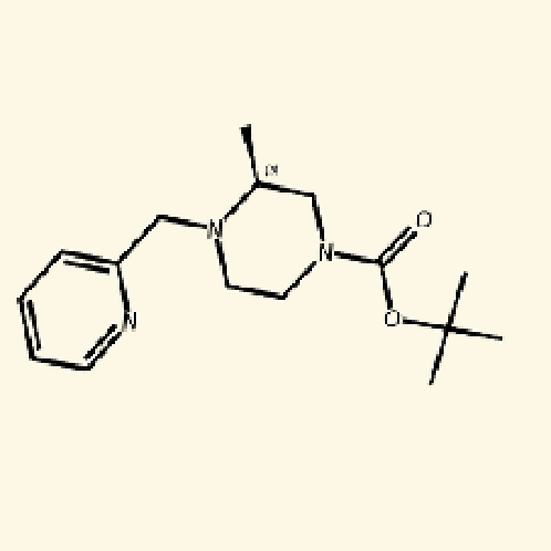 C[C@H]1CN(C(=O)OC(C)(C)C)CCN1Cc1ccccn1